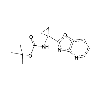 CC(C)(C)OC(=O)NC1(c2nc3ncccc3o2)CC1